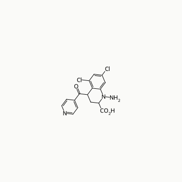 NN1c2cc(Cl)cc(Cl)c2C(C(=O)c2ccncc2)CC1C(=O)O